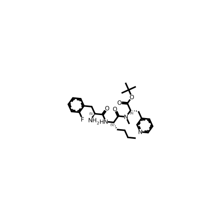 CCCC[C@H](NC(=O)[C@@H](N)Cc1ccccc1F)C(=O)N(C)[C@@H](Cc1cccnc1)C(=O)OC(C)(C)C